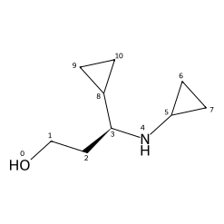 OCC[C@H](NC1CC1)C1CC1